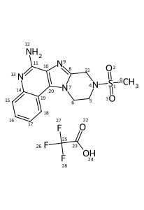 CS(=O)(=O)N1CCn2c(nc3c(N)nc4ccccc4c32)C1.O=C(O)C(F)(F)F